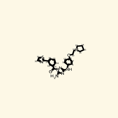 Nc1nc(Nc2ccc(OCCN3CCCC3)cc2)nn1C(=O)c1cccc(-c2nccs2)c1